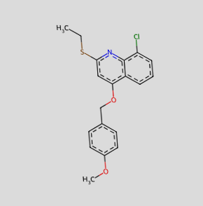 CCSc1cc(OCc2ccc(OC)cc2)c2cccc(Cl)c2n1